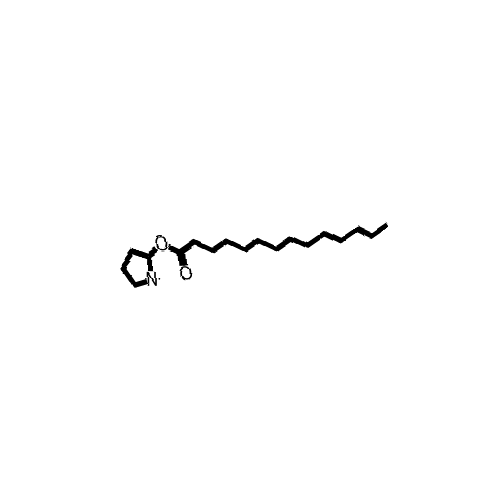 CCCCCCCCCCCCCC(=O)OC1CCC[N]1